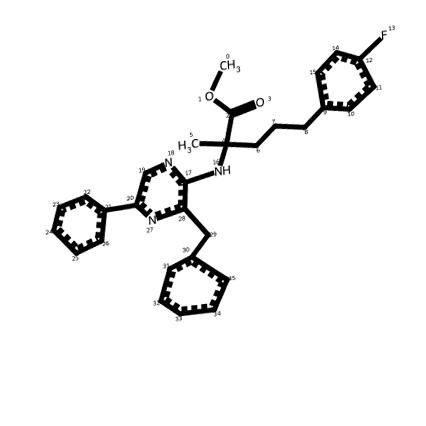 COC(=O)C(C)(CCCc1ccc(F)cc1)Nc1ncc(-c2ccccc2)nc1Cc1ccccc1